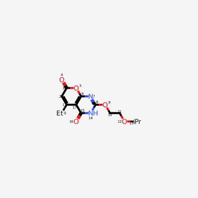 CCc1cc(=O)oc2nc(OCCOC(C)C)[nH]c(=O)c12